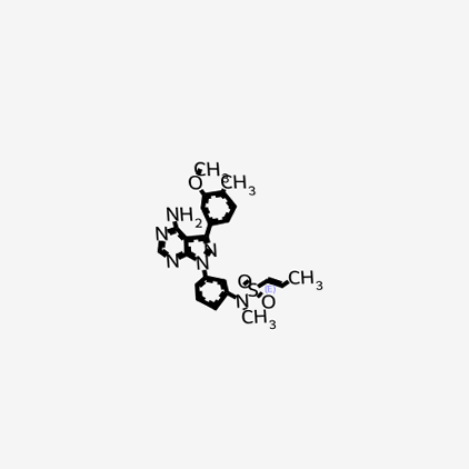 C/C=C/S(=O)(=O)N(C)c1cccc(-n2nc(-c3ccc(C)c(OC)c3)c3c(N)ncnc32)c1